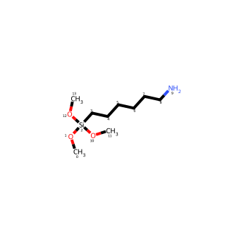 CO[Si](CCCCCCN)(OC)OC